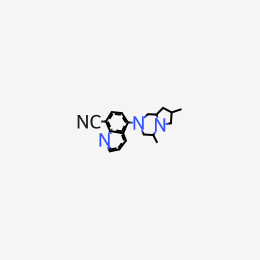 CC1CC2CN(c3ccc(C#N)c4ncccc34)CC(C)N2C1